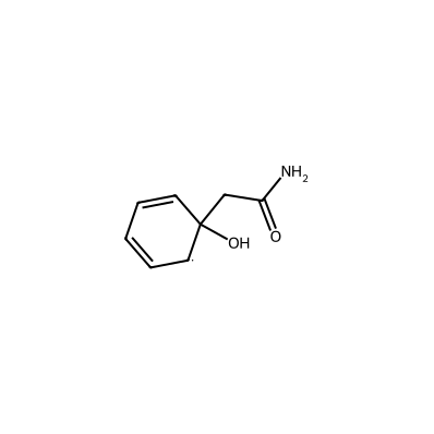 NC(=O)CC1(O)[CH]C=CC=C1